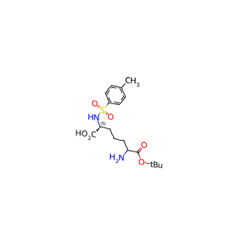 Cc1ccc(S(=O)(=O)N[C@@H](CCCC(N)C(=O)OC(C)(C)C)C(=O)O)cc1